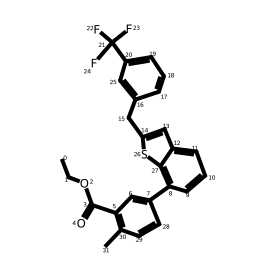 CCOC(=O)c1cc(-c2cccc3cc(Cc4cccc(C(F)(F)F)c4)sc23)ccc1C